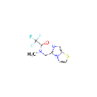 CN(Cc1ncc2sccn12)C(=O)C(F)(F)F